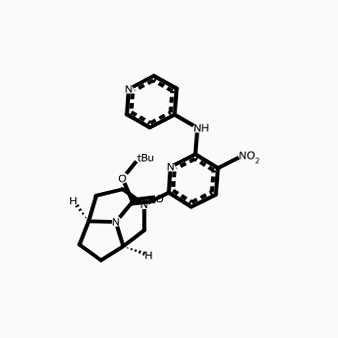 CC(C)(C)OC(=O)N1[C@H]2CC[C@@H]1CN(c1ccc([N+](=O)[O-])c(Nc3ccncc3)n1)CC2